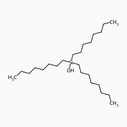 CCCCCCCC[Si](O)(CCCCCCCC)CCCCCCCC